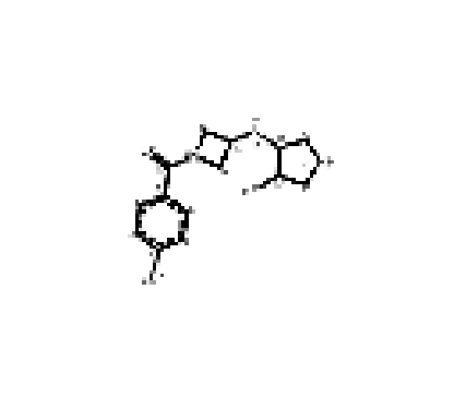 O=C(c1ccc(Br)cc1)N1CC(NC2CNCC2F)C1